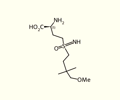 COCC(C)(C)CCS(=N)(=O)CC[C@H](N)C(=O)O